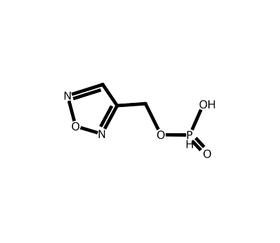 O=[PH](O)OCc1cnon1